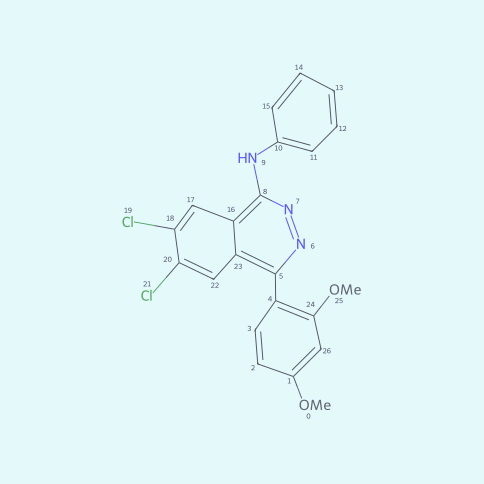 COc1ccc(-c2nnc(Nc3ccccc3)c3cc(Cl)c(Cl)cc23)c(OC)c1